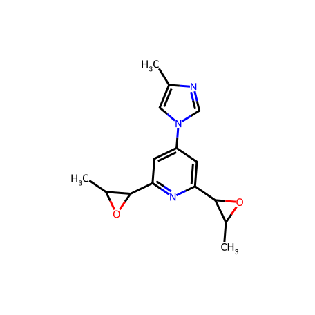 Cc1cn(-c2cc(C3OC3C)nc(C3OC3C)c2)cn1